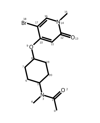 CC(=O)N(C)C1CCC(Oc2cc(=O)n(C)cc2Br)CC1